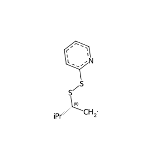 [CH2][C@@H](SSc1ccccn1)C(C)C